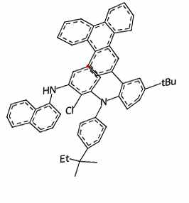 CCC(C)(C)c1ccc(N(c2ccc(C(C)(C)C)cc2-c2ccc3c4ccccc4c4ccccc4c3c2)c2cccc(Nc3cccc4ccccc34)c2Cl)cc1